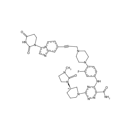 CN1CCN([C@@H]2CCCN(c3nnc(C(N)=O)c(Nc4ccc(N5CCN(CC#Cc6ccn7c(N8CCC(=O)NC8=O)cnc7c6)CC5)c(F)c4)n3)C2)C1=O